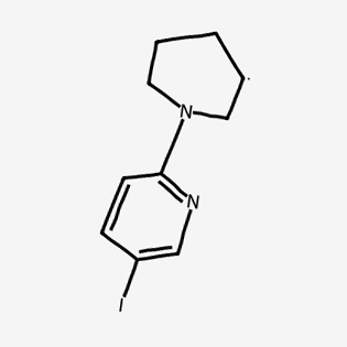 Ic1ccc(N2C[CH]CCC2)nc1